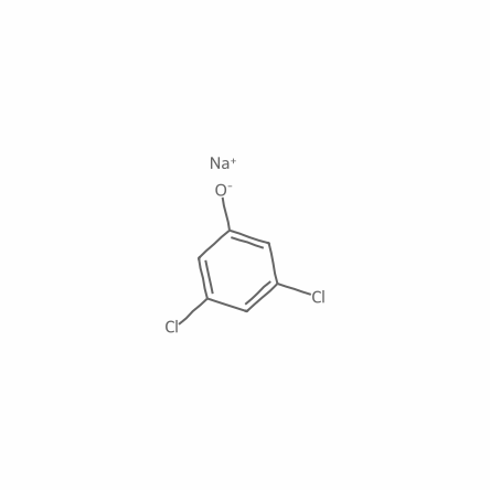 [Na+].[O-]c1cc(Cl)cc(Cl)c1